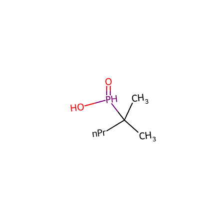 CCCC(C)(C)[PH](=O)O